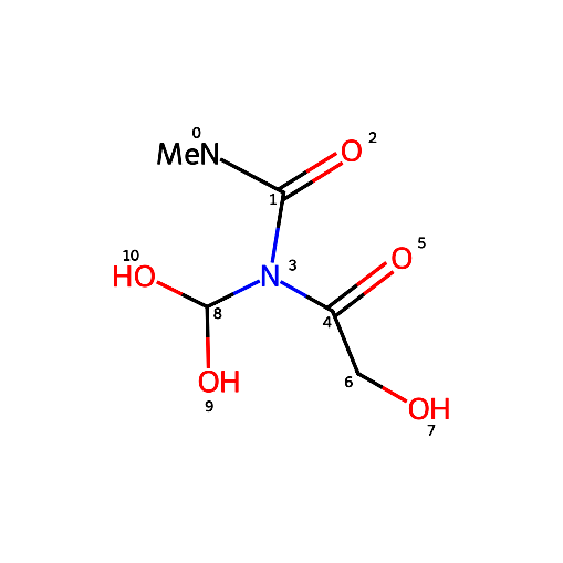 CNC(=O)N(C(=O)CO)C(O)O